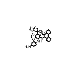 CCC(C)(CC)c1c2c(c(Nc3ccc(N)cc3)c3nc4c5ccccc5c5ccccc5c4nc13)OCCO2